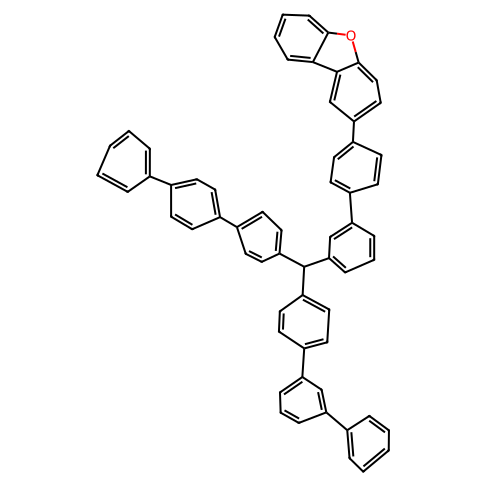 c1ccc(-c2ccc(-c3ccc(C(c4ccc(-c5cccc(-c6ccccc6)c5)cc4)c4cccc(-c5ccc(-c6ccc7oc8ccccc8c7c6)cc5)c4)cc3)cc2)cc1